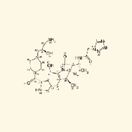 C[C@@H](NC(=O)Cn1cnnn1)[C@H]1C(=O)N2C(CO)=C(S[C@@H]3CN[C@H](C(=O)N4CCN(C[C@H](O)CN)CC4)C3)[C@H](C)[C@H]12